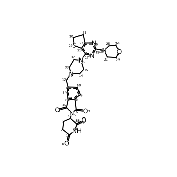 O=C1CCC(N2C(=O)c3ccc(CN4CCN(c5nc(N6CCOCC6)nc6c5SCC6)CC4)cc3C2=O)C(=O)N1